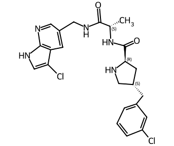 C[C@H](NC(=O)[C@H]1C[C@H](Cc2cccc(Cl)c2)CN1)C(=O)NCc1cnc2[nH]cc(Cl)c2c1